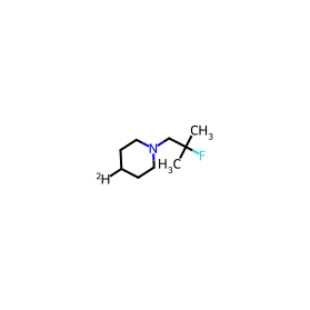 [2H]C1CCN(CC(C)(C)F)CC1